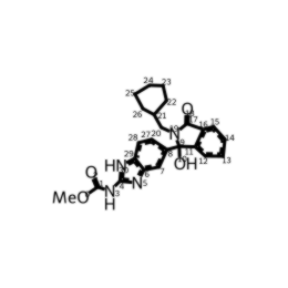 COC(=O)Nc1nc2cc(C3(O)c4ccccc4C(=O)N3CC3CCCCC3)ccc2[nH]1